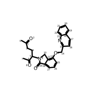 CC(=O)CCC(C(C)=O)N1Cc2c(OCc3ccc4ccccc4n3)cccc2C1=O